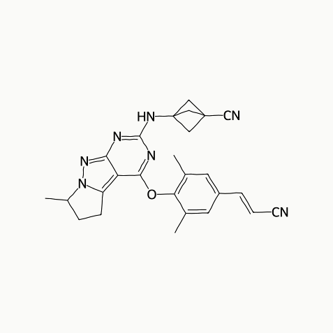 Cc1cc(/C=C/C#N)cc(C)c1Oc1nc(NC23CC(C#N)(C2)C3)nc2nn3c(c12)CCC3C